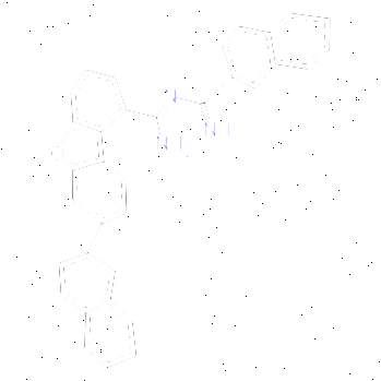 N=C(/N=C(\N)c1cccc2oc3cc(-c4ccc5ccccc5c4)ccc3c12)c1ccc2ccccc2c1